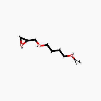 COCCCCOCC1CO1